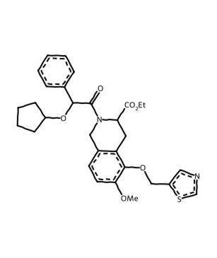 CCOC(=O)C1Cc2c(ccc(OC)c2OCc2cncs2)CN1C(=O)C(OC1CCCC1)c1ccccc1